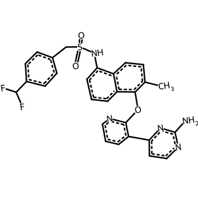 Cc1ccc2c(NS(=O)(=O)Cc3ccc(C(F)F)cc3)cccc2c1Oc1ncccc1-c1ccnc(N)n1